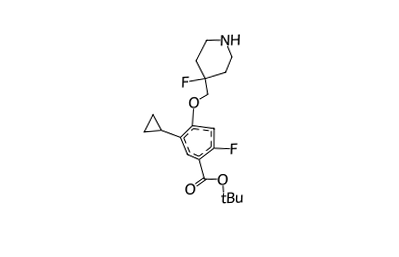 CC(C)(C)OC(=O)c1cc(C2CC2)c(OCC2(F)CCNCC2)cc1F